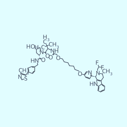 Cc1ncsc1-c1ccc(CNC(=O)[C@@H]2C[C@@H](O)CN2C(=O)C(NC(=O)COCCCCCCCOc2ccc([C@@H]3c4[nH]c5ccccc5c4C[C@@H](C)N3CC(F)F)nc2)C(C)(C)C)cc1